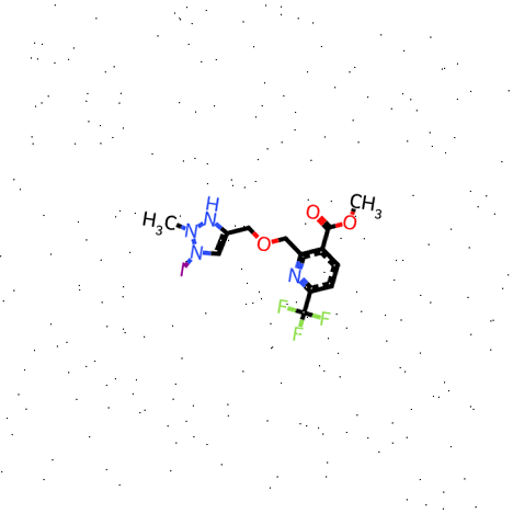 COC(=O)c1ccc(C(F)(F)F)nc1COCC1=CN(I)N(C)N1